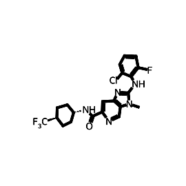 Cn1c(Nc2c(F)cccc2Cl)nc2cc(C(=O)N[C@H]3CC[C@H](C(F)(F)F)CC3)ncc21